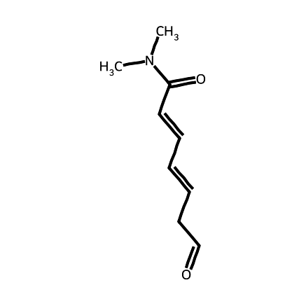 CN(C)C(=O)C=CC=CCC=O